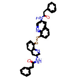 O=C(Cc1ccccc1)Nc1cnc2c(SSc3cccc4cc(NC(=O)Cc5ccccc5)cnc34)cccc2c1